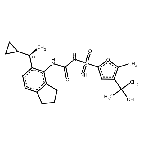 Cc1oc(S(=N)(=O)NC(=O)Nc2c([C@H](C)C3CC3)ccc3c2CCC3)cc1C(C)(C)O